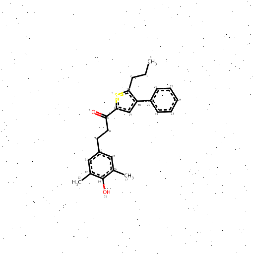 CCCc1sc(C(=O)CCc2cc(C)c(O)c(C)c2)cc1-c1ccccc1